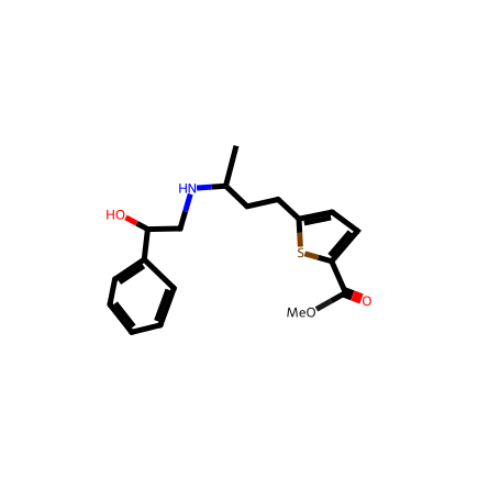 COC(=O)c1ccc(CCC(C)NCC(O)c2ccccc2)s1